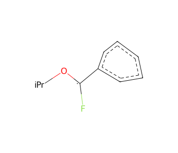 CC(C)O[C](F)c1ccccc1